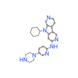 c1cc2c3cnc(Nc4ccc(N5CCNCC5)cn4)cc3n(C3CCCCC3)c2cn1